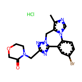 Cc1ncn2c1Cn1nc(CN3CCOCC3=O)nc1-c1cc(Br)ccc1-2.Cl